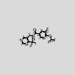 CC(F)(F)c1ncncc1CNC(=O)c1cnc(OC(F)F)c(F)c1